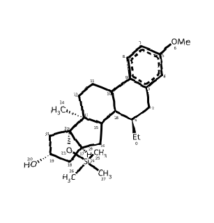 CC[C@@H]1Cc2cc(OC)ccc2C2CC[C@@]3(C)C(C[C@H]4C[C@H](O)C[C@]43O[Si](C)(C)C)C21